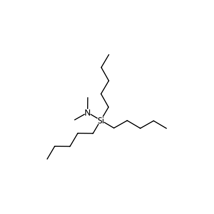 CCCCC[Si](CCCCC)(CCCCC)N(C)C